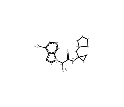 Cc1cccc2c1ccn2C(C)C(=O)NC1(CN2CCCC2)CC1